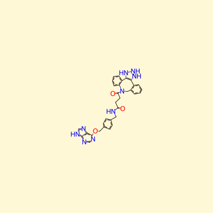 O=C(CCC(=O)N1Cc2ccccc2C2=C(NNN2)c2ccccc21)NCc1ccc(COc2ncnc3[nH]cnc23)cc1